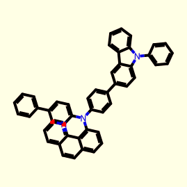 c1ccc(-c2ccc(N(c3ccc(-c4ccc5c(c4)c4ccccc4n5-c4ccccc4)cc3)c3cccc4ccc5cccnc5c34)cc2)cc1